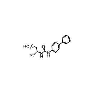 CC(C)[C@@H](CC(=O)O)NC(=O)Nc1ccc(-c2ccccc2)cc1